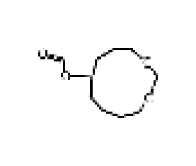 O=[C]OC1CCCCCCCCCC1